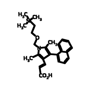 Cc1c(/C=C/C(=O)O)c(-c2cccc3ccccc23)c(C)n1COCC[Si](C)(C)C